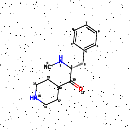 N#CN[C@H](Cc1ccccc1)C(=O)C1CCNCC1